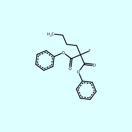 CCCCC(F)(C(=O)Oc1ccccc1)C(=O)Oc1ccccc1